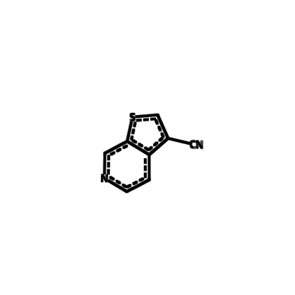 N#Cc1csc2cnccc12